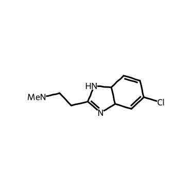 CNCCC1=NC2C=C(Cl)C=CC2N1